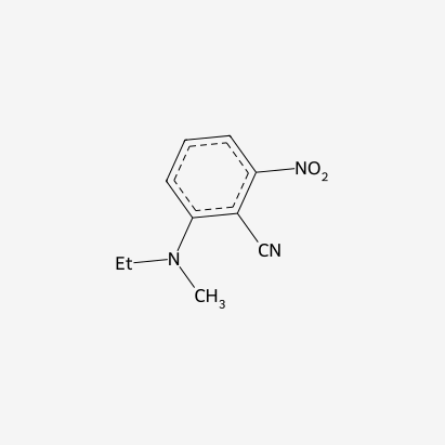 CCN(C)c1cccc([N+](=O)[O-])c1C#N